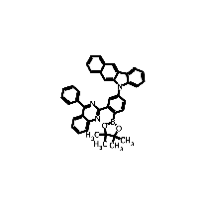 CC1(C)OB(c2ccc(-n3c4ccccc4c4cc5ccccc5cc43)cc2-c2nc(-c3ccccc3)c3ccccc3n2)OC1(C)C